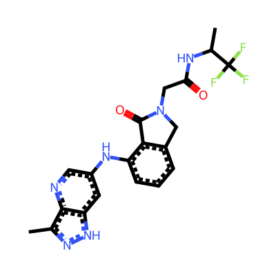 Cc1n[nH]c2cc(Nc3cccc4c3C(=O)N(CC(=O)NC(C)C(F)(F)F)C4)cnc12